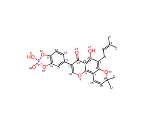 CC(C)=CCc1c2c(c3occ(-c4ccc5c(c4)OP(=O)(O)O5)c(=O)c3c1O)C=CC(C)(C)O2